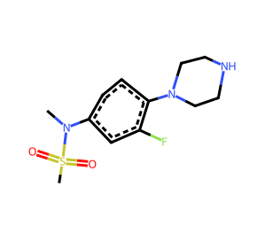 CN(c1ccc(N2CCNCC2)c(F)c1)S(C)(=O)=O